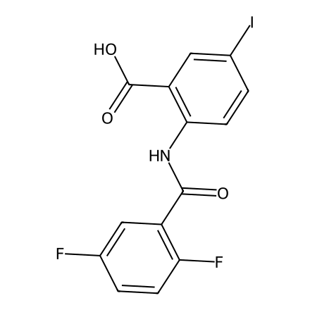 O=C(Nc1ccc(I)cc1C(=O)O)c1cc(F)ccc1F